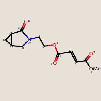 COC(=O)/C=C/C(=O)OCCN1CC2CC2C1=O